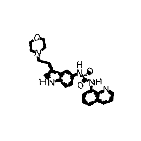 O=S(=O)(Nc1ccc2[nH]cc(CCN3CCOCC3)c2c1)Nc1cccc2cccnc12